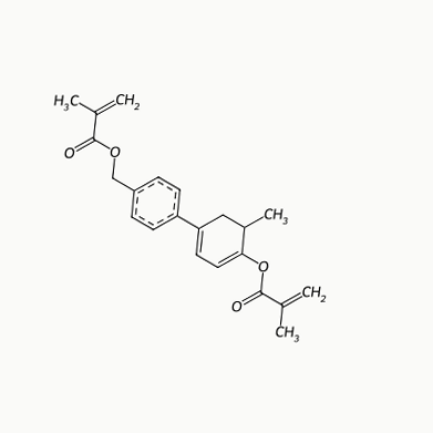 C=C(C)C(=O)OCc1ccc(C2=CC=C(OC(=O)C(=C)C)C(C)C2)cc1